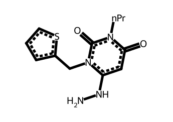 CCCn1c(=O)cc(NN)n(Cc2cccs2)c1=O